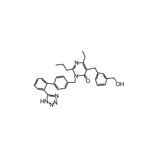 CCCc1nc(CC)c(Cc2cccc(CO)c2)c(=O)n1Cc1ccc(-c2ccccc2-c2nnn[nH]2)cc1